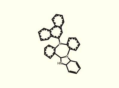 C1=CC2NC3c4ccccc4N(c4cc5ccccc5c5ccccc45)c4ccccc4N3C2C=C1